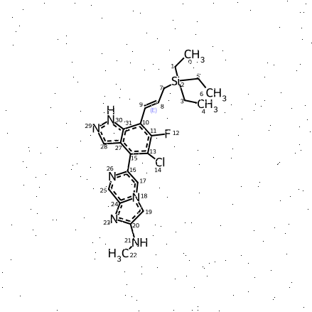 CC[Si](CC)(CC)C/C=C/c1c(F)c(Cl)c(-c2cn3cc(NC)nc3cn2)c2cn[nH]c12